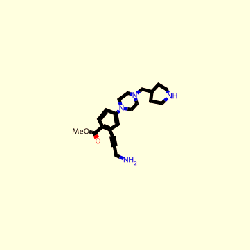 COC(=O)c1ccc(N2CCN(CC3CCNCC3)CC2)cc1C#CCN